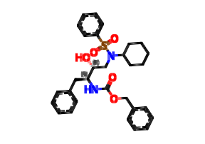 O=C(N[C@@H](Cc1ccccc1)[C@H](O)CN(C1CCCCC1)S(=O)(=O)c1ccccc1)OCc1ccccc1